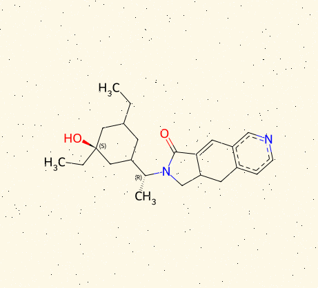 CCC1CC([C@@H](C)N2CC3Cc4ccncc4C=C3C2=O)C[C@](O)(CC)C1